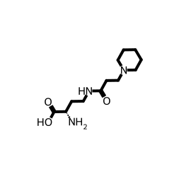 N[C@@H](CCNC(=O)CCN1CCCCC1)C(=O)O